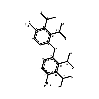 CC(C)c1c(N)ccc(Cc2ccc(N)c(C(C)C)c2C(C)C)c1C(C)C